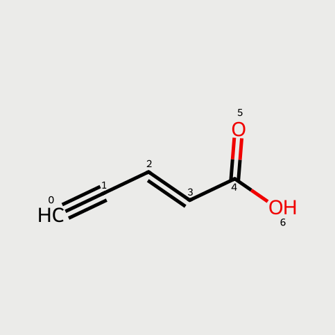 C#C/C=C/C(=O)O